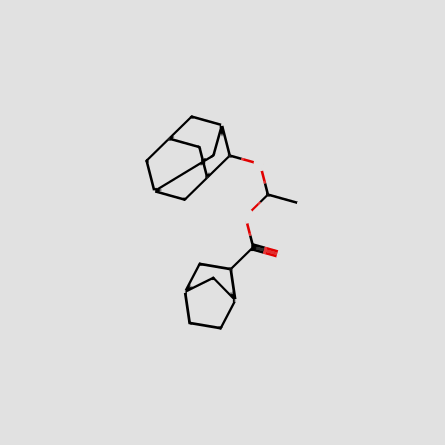 CC(OC(=O)C1CC2CCC1C2)OC1C2CC3CC(C2)CC1C3